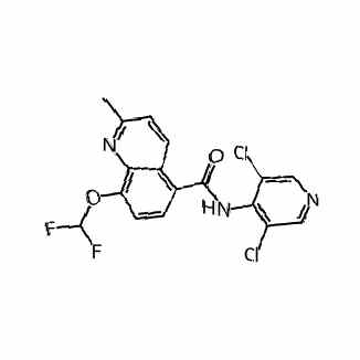 Cc1ccc2c(C(=O)Nc3c(Cl)cncc3Cl)ccc(OC(F)F)c2n1